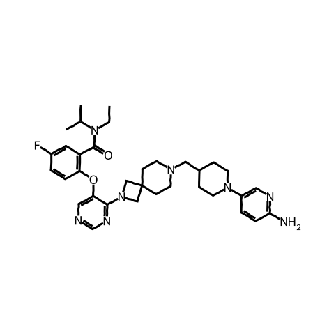 CCN(C(=O)c1cc(F)ccc1Oc1cncnc1N1CC2(CCN(CC3CCN(c4ccc(N)nc4)CC3)CC2)C1)C(C)C